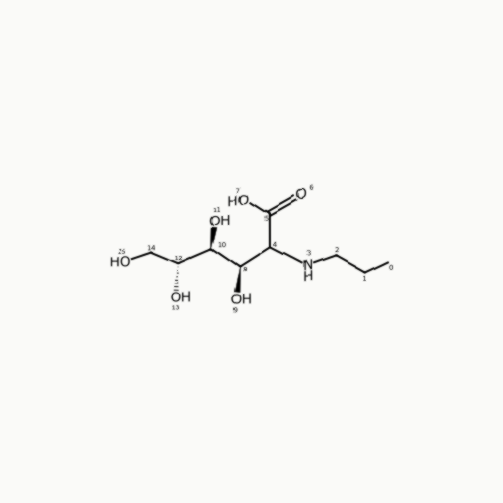 CCCNC(C(=O)O)[C@@H](O)[C@H](O)[C@H](O)CO